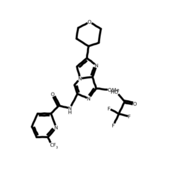 COc1nc(NC(=O)c2cccc(C(F)(F)F)n2)cn2cc(C3CCOCC3)nc12.O=C(O)C(F)(F)F